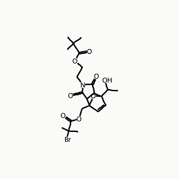 CC(O)C12C=CC(COC(=O)C(C)(C)Br)(O1)C1C(=O)N(CCOC(=O)C(C)(C)C)C(=O)C12